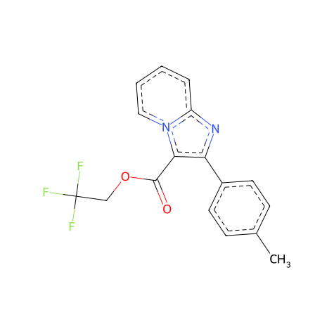 Cc1ccc(-c2nc3ccccn3c2C(=O)OCC(F)(F)F)cc1